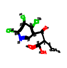 CCC(C(=O)O)C(=O)c1cnc(Cl)c(Cl)c1Cl